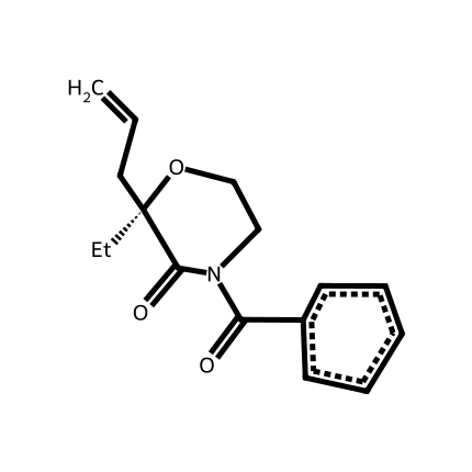 C=CC[C@@]1(CC)OCCN(C(=O)c2ccccc2)C1=O